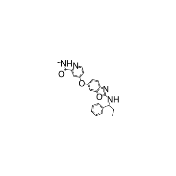 CCC(Nc1nc2ccc(Oc3ccnc(C(=O)NC)c3)cc2o1)c1ccccc1